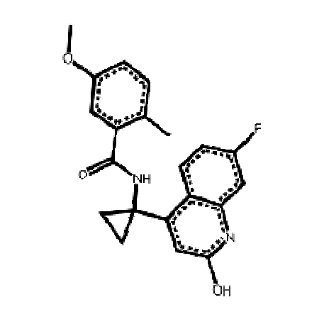 COc1ccc(C)c(C(=O)NC2(c3cc(O)nc4cc(F)ccc34)CC2)c1